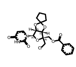 O=C(OC[C@@]1(CCl)O[C@@H](n2ccc(=O)[nH]c2=O)[C@@H]2OC3(CCCC3)O[C@@H]21)c1ccccc1